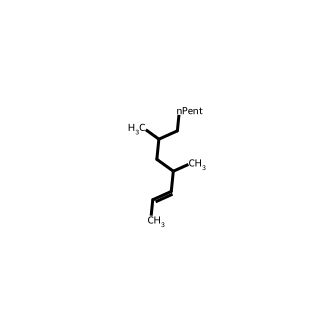 C/C=C/C(C)CC(C)CCCCCC